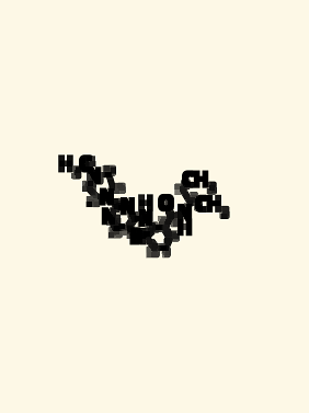 CCC(C)NC(=O)c1ccccc1Nc1nc(N2CCN(C)CC2)ncc1Br